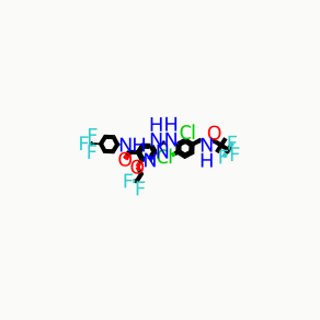 CC(C)(C(=O)NCc1ccc(Cl)c(Nc2nc3nc(OCC(F)F)c(C(=O)N[C@H]4CC[C@H](C(F)(F)F)CC4)cc3[nH]2)c1Cl)C(F)(F)F